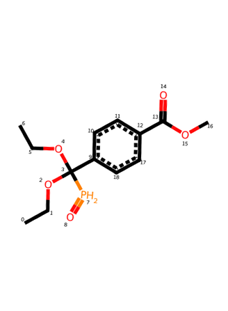 CCOC(OCC)([PH2]=O)c1ccc(C(=O)OC)cc1